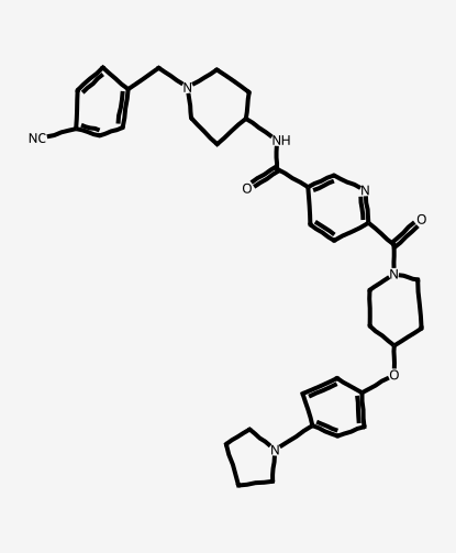 N#Cc1ccc(CN2CCC(NC(=O)c3ccc(C(=O)N4CCC(Oc5ccc(N6CCCC6)cc5)CC4)nc3)CC2)cc1